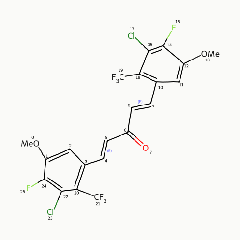 COc1cc(/C=C/C(=O)/C=C/c2cc(OC)c(F)c(Cl)c2C(F)(F)F)c(C(F)(F)F)c(Cl)c1F